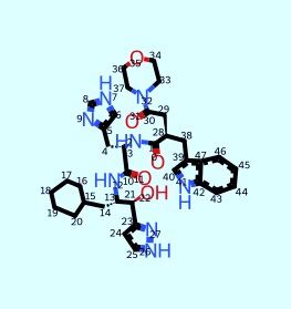 O=C(N[C@@H](Cc1c[nH]cn1)C(=O)N[C@@H](CC1CCCCC1)[C@@H](O)c1cc[nH]n1)[C@@H](CC(=O)N1CCOCC1)Cc1c[nH]c2ccccc12